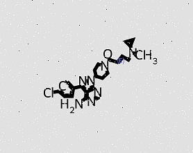 CN(C/C=C/C(=O)N1CCC(n2nc(-c3ccc(Cl)cc3)c3c(N)ncnc32)CC1)C1CC1